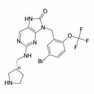 O=c1[nH]c2cnc(NC[C@@H]3CCNC3)nc2n1Cc1cc(Br)ccc1OC(F)(F)F